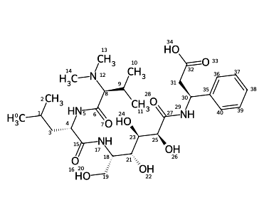 CC(C)C[C@H](NC(=O)[C@H](C(C)C)N(C)C)C(=O)N[C@@H](CO)[C@@H](O)[C@@H](O)[C@H](O)C(=O)N[C@@H](CC(=O)O)c1ccccc1